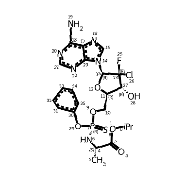 CC(C)OC(=O)[C@H](C)N[P@@](=S)(OC[C@H]1O[C@@H](n2cnc3c(N)ncnc32)[C@](F)(Cl)[C@@H]1O)Oc1ccccc1